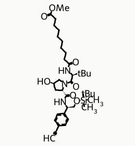 C#Cc1ccc([C@H](CO[Si](C)(C)C(C)(C)C)NC(=O)[C@@H]2C[C@@H](O)CN2C(=O)[C@@H](NC(=O)CCCCCCCCC(=O)OC)C(C)(C)C)cc1